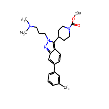 CN(C)CCCn1nc2cc(-c3cccc(C(F)(F)F)c3)ccc2c1C1CCN(C(=O)OC(C)(C)C)CC1